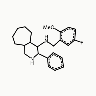 COc1ccc(F)cc1CNC1C(c2ccccc2)NCC2CCCCCC21